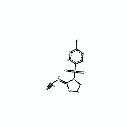 Cc1ccc(S(=O)(=O)N2CCSC2=NC#N)cc1